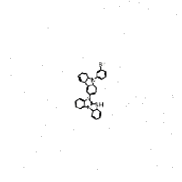 Brc1cccc(N2C3CC=C(N4c5ccccc5N5C6C=CC=CC6NC45)C=C3C3C=CC=CC32)c1